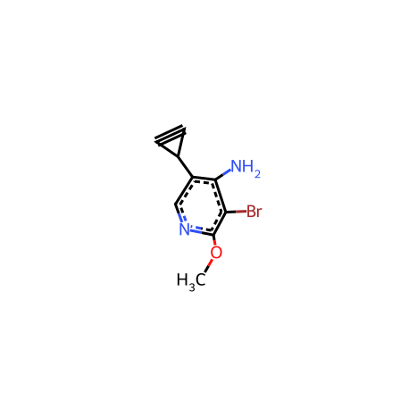 COc1ncc(C2C#C2)c(N)c1Br